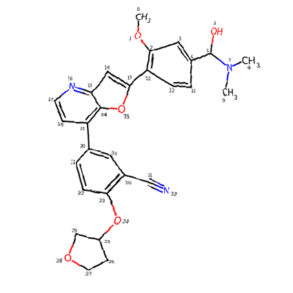 COc1cc(C(O)N(C)C)ccc1-c1cc2nccc(-c3ccc(OC4CCOC4)c(C#N)c3)c2o1